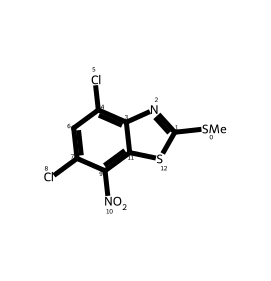 CSc1nc2c(Cl)cc(Cl)c([N+](=O)[O-])c2s1